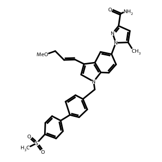 COCC=Cc1cn(Cc2ccc(-c3ccc(S(C)(=O)=O)cc3)cc2)c2ccc(-n3nc(C(N)=O)cc3C)cc12